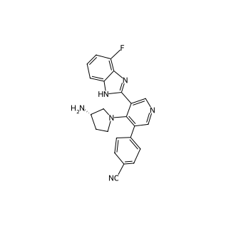 N#Cc1ccc(-c2cncc(-c3nc4c(F)cccc4[nH]3)c2N2CC[C@H](N)C2)cc1